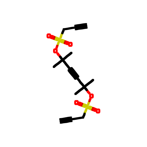 C#CCS(=O)(=O)OC(C)(C)C#CC(C)(C)OS(=O)(=O)CC#C